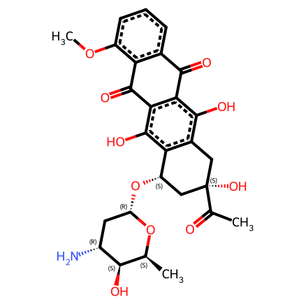 COc1cccc2c1C(=O)c1c(O)c3c(c(O)c1C2=O)C[C@@](O)(C(C)=O)C[C@@H]3O[C@H]1C[C@@H](N)[C@H](O)[C@H](C)O1